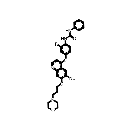 [C-]#[N+]c1cc2c(Oc3ccc(NC(=O)Nc4ccccc4)c(F)c3)ccnc2cc1OCCCN1CCOCC1